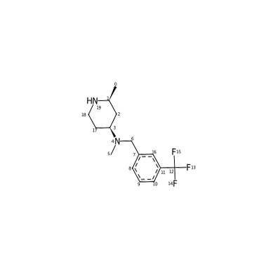 C[C@H]1C[C@@H](N(C)Cc2cccc(C(F)(F)F)c2)CCN1